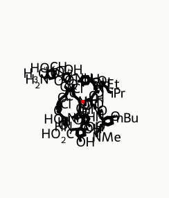 CCCCOc1ccc(OCCNC)c(NC(=O)NC(=O)C[C@@H]2CC(=O)[C@H](NC(=O)[C@H](CC)CC(C)C)[C@H](O)c3ccc(c(Cl)c3)Oc3cc4cc(c3O[C@@H]3O[C@H](CN)[C@@H](O)[C@H](O)[C@H]3O[C@H]3C[C@](C)(N)[C@H](O)[C@H](C)O3)Oc3ccc(cc3Cl)[C@@H](O)[C@@H]3NC(=O)[C@H](CC(=O)[C@@H]4NC2=O)c2ccc(O)c(c2)-c2c(O)cc(O)cc2[C@@H](C(=O)O)NC3=O)c1